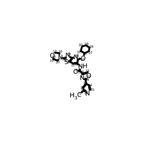 Cc1cc(-c2nc(C(=O)Nc3cc4sc(N5CCOCC5)nc4nc3OC3CCCCC3)co2)ccn1